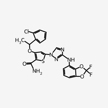 CC(Oc1cc(-n2cnc(Nc3cccc4c3OC(F)(F)O4)n2)sc1C(N)=O)c1ccccc1Cl